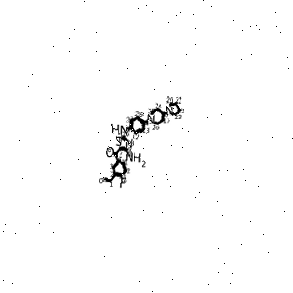 CCc1cc(C(=O)c2sc(Nc3ccc(N4CCC(N5CCCC5)CC4)cc3)nc2N)ccc1F